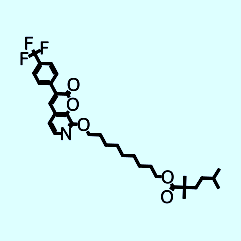 CC(C)CCC(C)(C)C(=O)OCCCCCCCCCOc1nccc2cc(-c3ccc(C(F)(F)F)cc3)c(=O)oc12